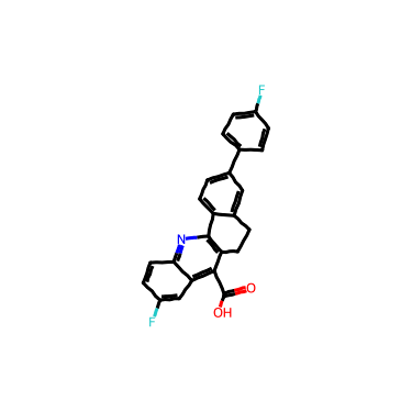 O=C(O)c1c2c(nc3ccc(F)cc13)-c1ccc(-c3ccc(F)cc3)cc1CC2